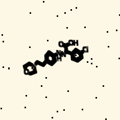 O=C(O)C(=NNc1ccc(CCN2CCOCC2)cc1)c1cccc(Cl)c1